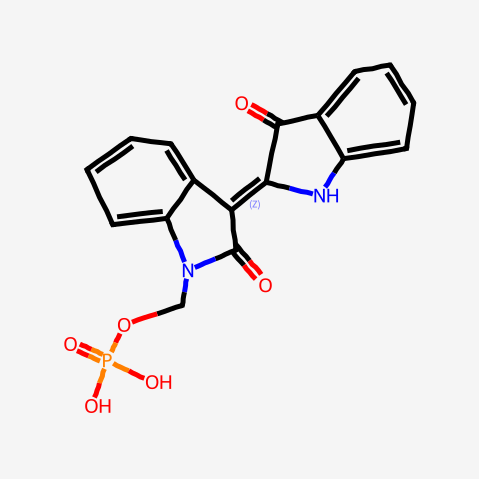 O=C1/C(=C2/C(=O)N(COP(=O)(O)O)c3ccccc32)Nc2ccccc21